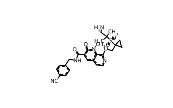 Cn1c(=O)c(C(=O)NCc2ccc(C#N)cc2)cc2ccnc(OCC3(S(=O)(=O)C(C)(C)CN)CC3)c21